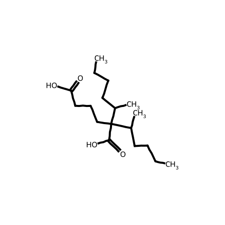 CCCCC(C)C(CCCC(=O)O)(C(=O)O)C(C)CCCC